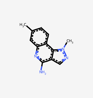 Cc1[c]cc2c(c1)nc(N)c1cnn(C)c12